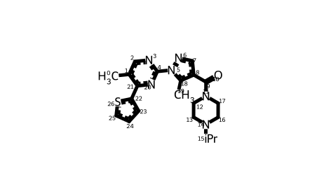 Cc1cnc(-n2ncc(C(=O)N3CCN(C(C)C)CC3)c2C)nc1-c1cccs1